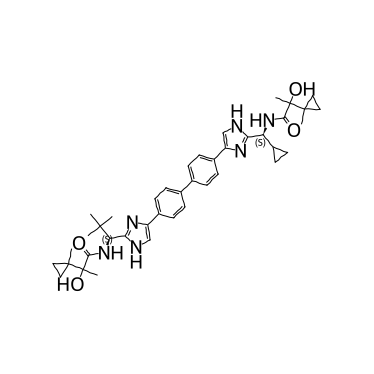 CC(C)(C)[C@H](NC(=O)C(C)(O)C1(C)CC1)c1nc(-c2ccc(-c3ccc(-c4c[nH]c([C@@H](NC(=O)C(C)(O)C5(C)CC5)C5CC5)n4)cc3)cc2)c[nH]1